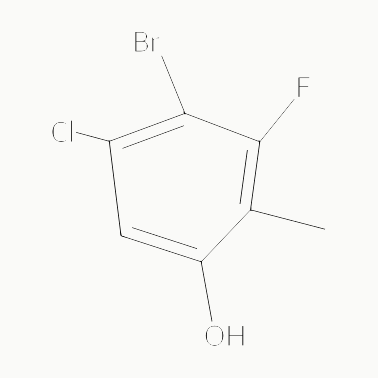 Cc1c(O)cc(Cl)c(Br)c1F